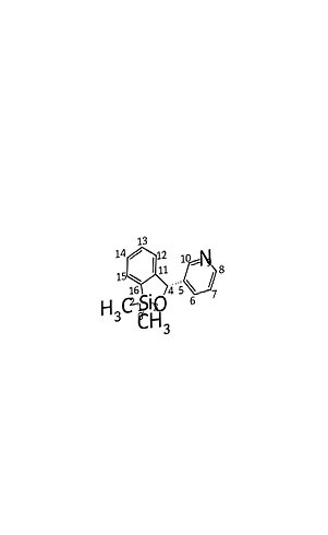 C[Si]1(C)O[C@@H](c2cccnc2)c2ccccc21